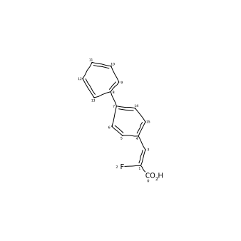 O=C(O)C(F)=Cc1ccc(-c2ccccc2)cc1